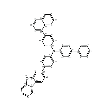 c1ccc(-c2ccc(N(c3ccc(-c4ccc5c(c4)oc4ccccc45)cc3)c3ccc(-c4cccc5ccccc45)cc3)cc2)cc1